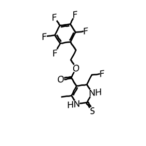 CC1=C(C(=O)OCCc2c(F)c(F)c(F)c(F)c2F)C(CF)NC(=S)N1